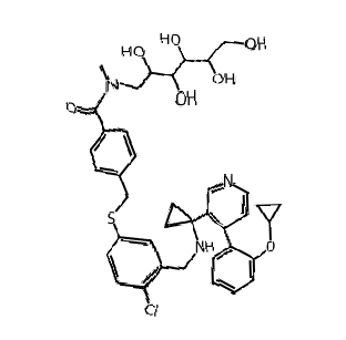 CN(CC(O)C(O)C(O)C(O)CO)C(=O)c1ccc(CSc2ccc(Cl)c(CNC3(c4cnccc4-c4ccccc4OC4CC4)CC3)c2)cc1